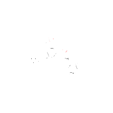 COc1cc(CO)cc(C(=O)/C=C/c2ccccc2C)c1